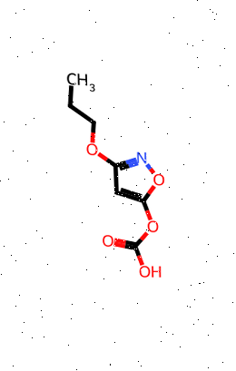 CCCOc1cc(OC(=O)O)on1